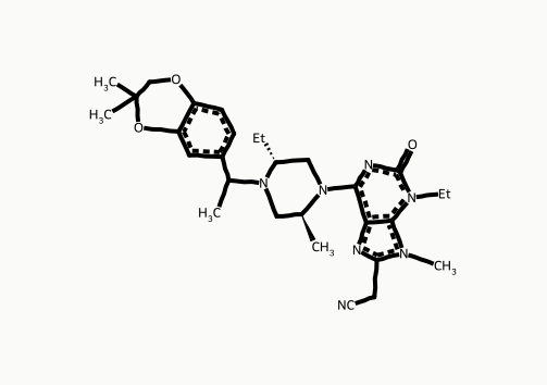 CC[C@@H]1CN(c2nc(=O)n(CC)c3c2nc(CC#N)n3C)[C@@H](C)CN1C(C)c1ccc2c(c1)OC(C)(C)CO2